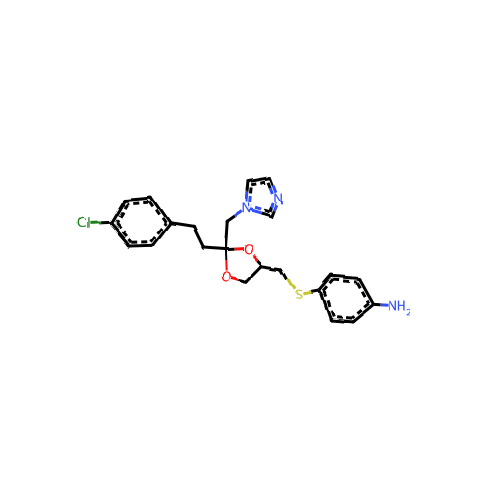 Nc1ccc(SCC2COC(CCc3ccc(Cl)cc3)(Cn3ccnc3)O2)cc1